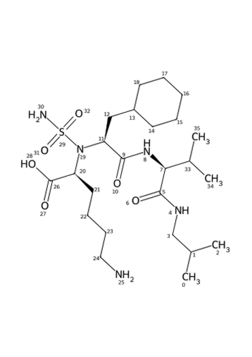 CC(C)CNC(=O)[C@@H](NC(=O)[C@H](CC1CCCCC1)N([C@@H](CCCCN)C(=O)O)S(N)(=O)=O)C(C)C